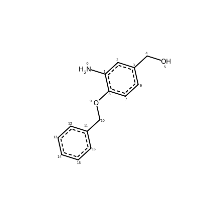 Nc1cc(CO)ccc1OCc1ccccc1